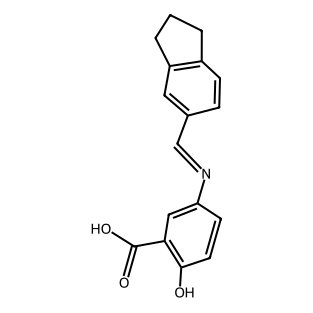 O=C(O)c1cc(/N=C/c2ccc3c(c2)CCC3)ccc1O